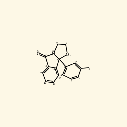 Cc1cccc(C23OCCN2C(=O)c2ccccc23)c1